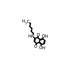 CCCCCCNC1=CC(=O)c2c(O)ccc(O)c2C1=O